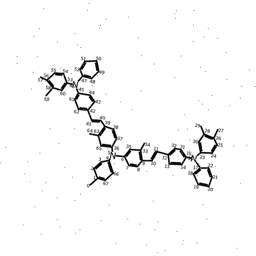 Cc1ccc(N(c2ccc(/C=C/c3ccc(N(c4ccccc4)c4ccc(C)c(C)c4)cc3)c(C)c2)c2ccc(/C=C/c3ccc(N(c4ccccc4)c4ccc(C)c(C)c4)cc3)c(C)c2)cc1